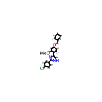 COc1cc(OCc2ccccc2)ccc1-c1c[nH]c(-c2ccc(Cl)cc2)n1